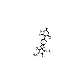 CN1C(=O)N(C)C2(CC3(CCC(N4C(=O)CC(=O)NC4=O)CC3)C2)C1=O